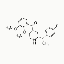 COc1cccc(C(=O)C2CCNC(C(C)c3ccc(F)cc3)C2)c1OC